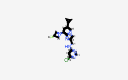 FC1CN(c2cc(C3CC3)cn3cc(CNc4cc(Cl)ncn4)nc23)C1